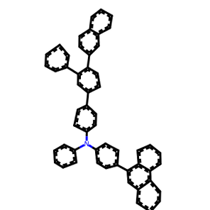 c1ccc(-c2cc(-c3ccc(N(c4ccccc4)c4ccc(-c5cc6ccccc6c6ccccc56)cc4)cc3)ccc2-c2ccc3ccccc3c2)cc1